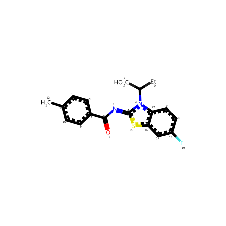 CCC(C(=O)O)n1c(=NC(=O)c2ccc(C)cc2)sc2cc(F)ccc21